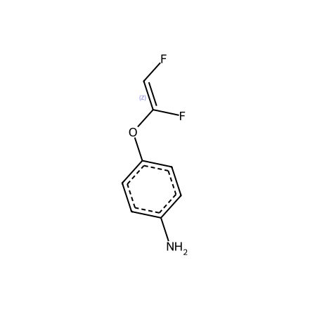 Nc1ccc(O/C(F)=C/F)cc1